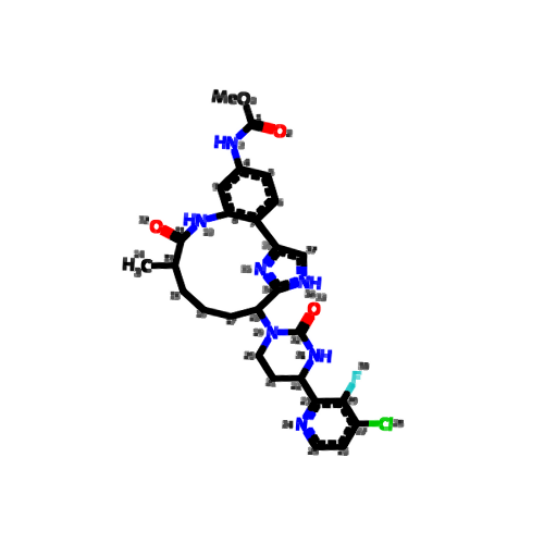 COC(=O)Nc1ccc2c(c1)NC(=O)C(C)CCCC(N1CCC(c3nccc(Cl)c3F)NC1=O)c1nc-2c[nH]1